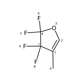 CC1=COC(F)(F)C1(F)F